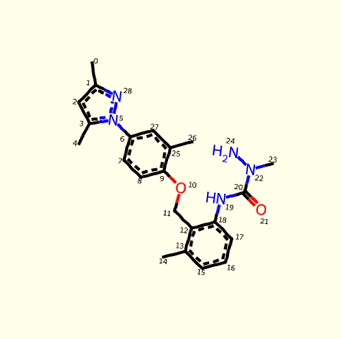 Cc1cc(C)n(-c2ccc(OCc3c(C)cccc3NC(=O)N(C)N)c(C)c2)n1